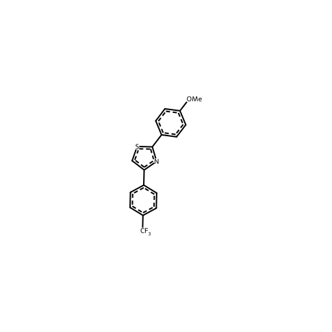 COc1ccc(-c2nc(-c3ccc(C(F)(F)F)cc3)cs2)cc1